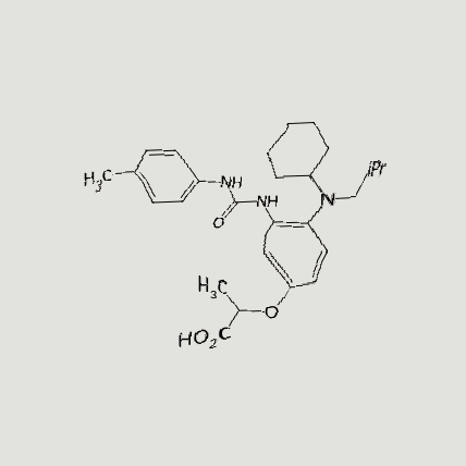 Cc1ccc(NC(=O)Nc2cc(OC(C)C(=O)O)ccc2N(CC(C)C)C2CCCCC2)cc1